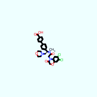 CN(C(=O)CN1C(=O)COc2cc(Cl)c(Cl)cc21)[C@@H](CN1CCOCC1)c1ccc(-c2ccc(C(=O)O)cc2)cc1